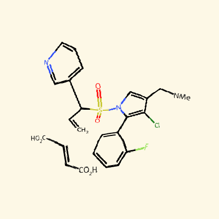 C=CC(c1cccnc1)S(=O)(=O)n1cc(CNC)c(Cl)c1-c1ccccc1F.O=C(O)/C=C/C(=O)O